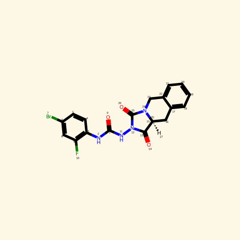 O=C(Nc1ccc(Br)cc1F)NN1C(=O)[C@@H]2Cc3ccccc3CN2C1=O